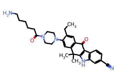 CCc1cc2c(cc1N1CCN(C(=O)CCCCCN)CC1)C(C)(C)c1[nH]c3cc(C#N)ccc3c1C2=O